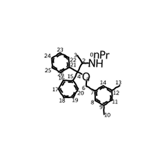 CCCNC(C)C(OCc1cc(C)cc(C)c1)(c1ccccc1)c1ccccc1